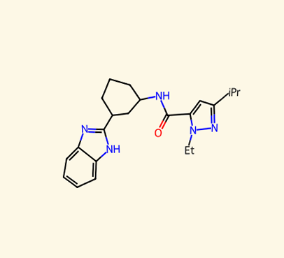 CCn1nc(C(C)C)cc1C(=O)NC1CCCC(c2nc3ccccc3[nH]2)C1